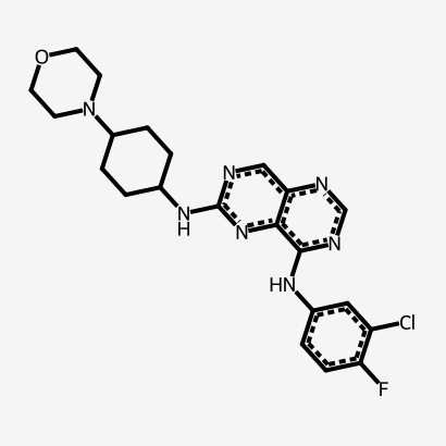 Fc1ccc(Nc2ncnc3cnc(NC4CCC(N5CCOCC5)CC4)nc23)cc1Cl